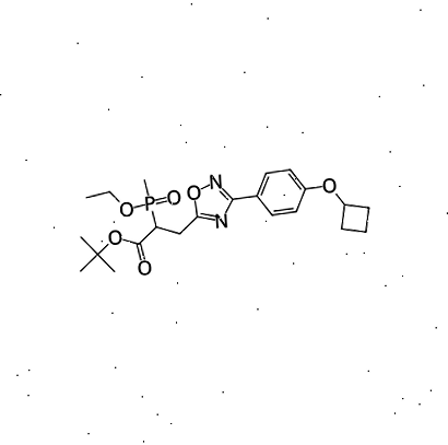 CCOP(C)(=O)C(Cc1nc(-c2ccc(OC3CCC3)cc2)no1)C(=O)OC(C)(C)C